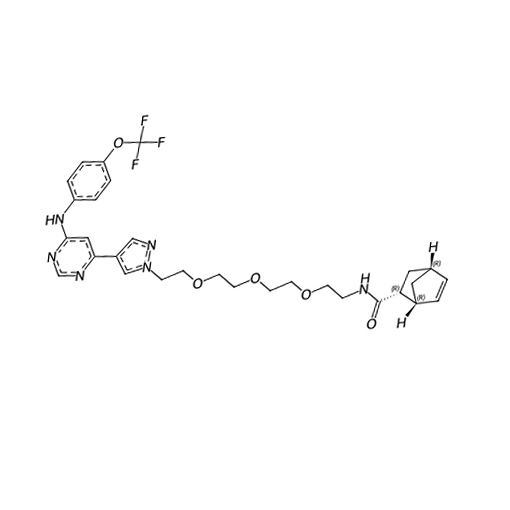 O=C(NCCOCCOCCOCCn1cc(-c2cc(Nc3ccc(OC(F)(F)F)cc3)ncn2)cn1)[C@@H]1C[C@@H]2C=C[C@H]1C2